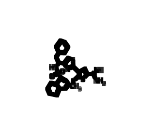 CSc1sc(C(=N)N)cc1-c1nc(C(Cc2ccccc2)NS(=O)(=O)c2cccc3ccccc23)cs1